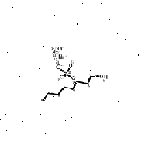 CCCCCCCCO.O=P([O-])([O-])[O-].[Na+].[Na+].[Na+]